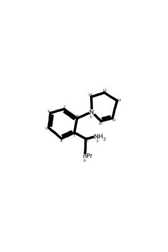 CCCC(N)c1ccccc1N1C=CCCC1